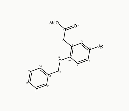 COC(=O)Cc1cc(C(C)=O)ccc1OCc1ccccc1